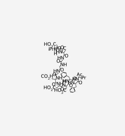 CC(=O)C(NC(=O)C(Cc1ccccc1)NC(=O)C(Cc1ccccc1)NC(=O)C(CC(=O)O)NC(=O)C(CC(=O)O)NC(=O)C(CC(=O)O)NC(=O)CNC(=O)CNC(=O)CNC(=O)C(CC(=O)O)NC(=O)C(CC(=O)O)NC(C)C)C(C)C